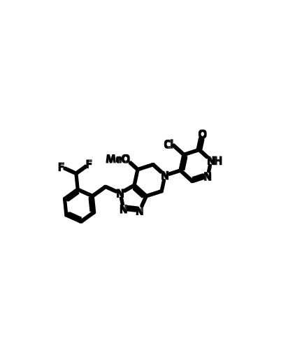 COC1CN(c2cn[nH]c(=O)c2Cl)Cc2nnn(Cc3ccccc3C(F)F)c21